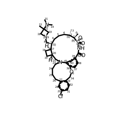 C[C@@H]1[C@@H](C)CCC[C@H](CN2CC(C)(N(C)C)C2)[C@@H]2CC[C@H]2CN2CCCCc3cc(Cl)ccc3COc3ccc(cc32)C(=O)NS1(=O)=O